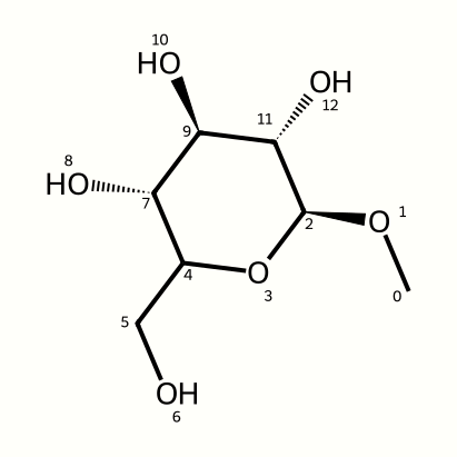 CO[C@H]1OC(CO)[C@H](O)[C@@H](O)[C@@H]1O